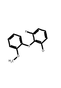 COc1ccccc1Sc1c([O])cccc1F